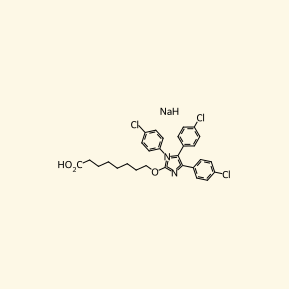 O=C(O)CCCCCCCOc1nc(-c2ccc(Cl)cc2)c(-c2ccc(Cl)cc2)n1-c1ccc(Cl)cc1.[NaH]